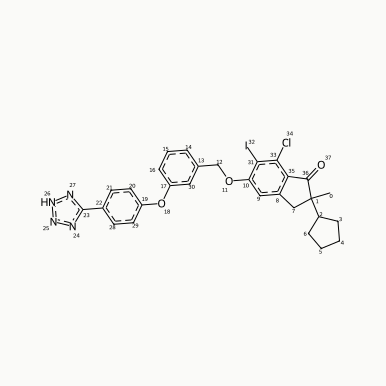 CC1(C2CCCC2)Cc2cc(OCc3cccc(Oc4ccc(-c5nn[nH]n5)cc4)c3)c(I)c(Cl)c2C1=O